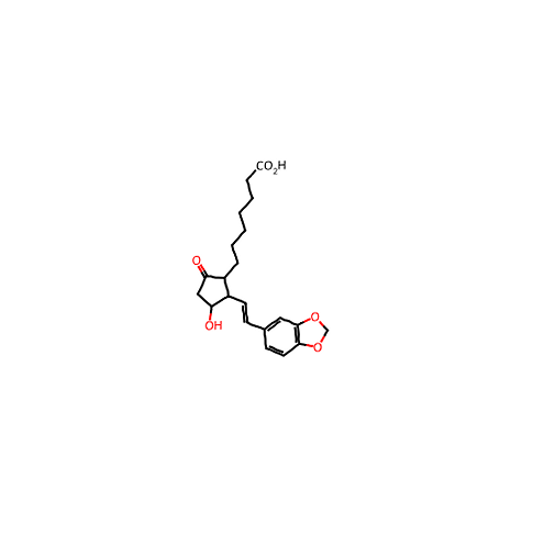 O=C(O)CCCCCCC1C(=O)CC(O)C1C=Cc1ccc2c(c1)OCO2